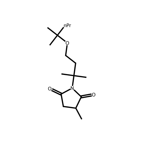 CCCC(C)(C)OCCC(C)(C)N1C(=O)CC(C)C1=O